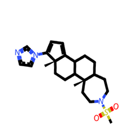 C[C@]12CCC3C(CCC4CCN(S(C)(=O)=O)CC[C@@]43C)C1=CC=C2n1ccnc1